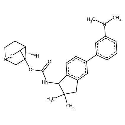 CN(C)c1cccc(-c2ccc3c(c2)CC(C)(C)C3NC(=O)O[C@H]2CN3CCC2CC3)c1